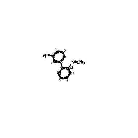 Fc1cccc(-c2ccccc2N=C=S)c1